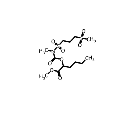 CCCCC(OC(=O)N(C)S(=O)(=O)CCCS(C)(=O)=O)C(=O)OC